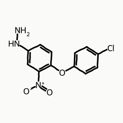 NNc1ccc(Oc2ccc(Cl)cc2)c([N+](=O)[O-])c1